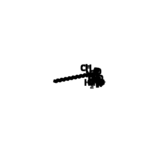 CCCCCCCCCCCCCCCCCCNC(=O)OCC1(COC(=O)C(N)(C(=O)c2ccccc2)c2cccc[n+]2CC)CCCO1.[Cl-]